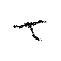 N#Cc1ccc(-c2ccc(OCCCCCCCCCCOC(=O)c3cc(OC(=O)c4ccc(C#Cc5ccc(OCCCO)cc5)cc4)ccc3OC(=O)c3ccc(C#Cc4ccc(OCCCO)cc4)cc3)cc2)cc1